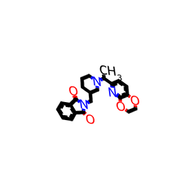 CC(c1ccc2c(n1)OCCO2)N1CCCC(CN2C(=O)c3ccccc3C2=O)C1